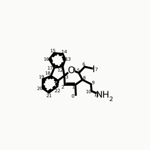 CC1=CC2(OC(CI)C1CCN)c1ccccc1-c1ccccc12